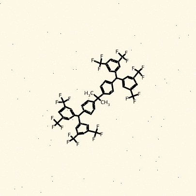 CC(C)(c1ccc(C(c2cc(C(F)(F)F)cc(C(F)(F)F)c2)c2cc(C(F)(F)F)cc(C(F)(F)F)c2)cc1)c1ccc(C(c2cc(C(F)(F)F)cc(C(F)(F)F)c2)c2cc(C(F)(F)F)cc(C(F)(F)F)c2)cc1